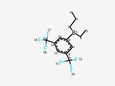 CCCB(CC)c1cc(C(F)(F)F)cc(C(F)(F)F)c1